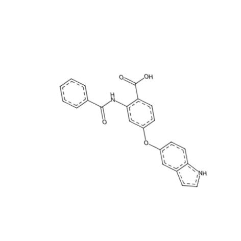 O=C(Nc1cc(Oc2ccc3[nH]ccc3c2)ccc1C(=O)O)c1ccccc1